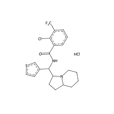 Cl.O=C(NC(c1ccsc1)C1CCC2CCCCN21)c1cccc(C(F)(F)F)c1Cl